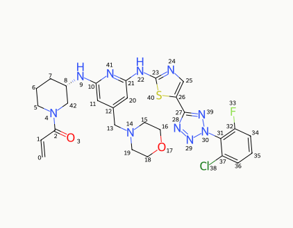 C=CC(=O)N1CCC[C@H](Nc2cc(CN3CCOCC3)cc(Nc3ncc(-c4nnn(-c5c(F)cccc5Cl)n4)s3)n2)C1